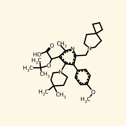 COc1ccc(-c2c(CN3CCC4(CCC4)CC3)nc(C)c(C(OC(C)(C)C)C(=O)O)c2N2CCC(C)(C)CC2)cc1